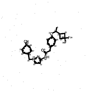 CC(Oc1ccc(CC(=O)Nc2ccn(Cc3ccc(C#N)cc3)n2)cc1)C1CC(F)(F)C1